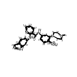 CN1CCN(c2cc(NC(=O)c3cccnc3Nc3ccc4cn[nH]c4c3)ccc2C(C)(C)C)CC1